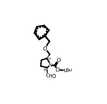 CC(C)(C)OC(=O)N1[C@H](COCc2ccccc2)CC[C@@H]1C=O